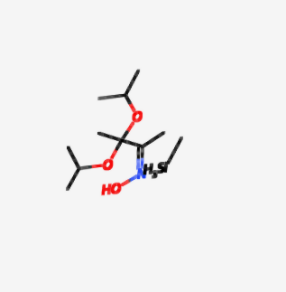 CC(=NO)C(C)(OC(C)C)OC(C)C.C[SiH3]